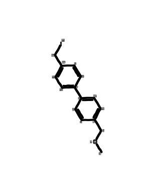 COCc1ccc(-c2ccc(CI)cc2)cc1